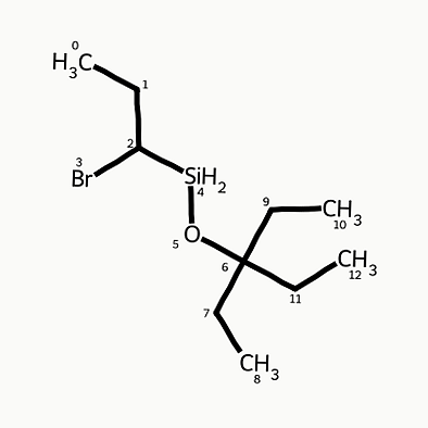 CCC(Br)[SiH2]OC(CC)(CC)CC